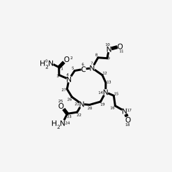 NC(=O)CN1CCN(CCN=O)CCN(CCN=O)CCN(CC(N)=O)CC1